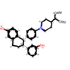 COC(OC)C1CCN(c2ccc([C@H]3c4ccc(O)cc4CC[C@H]3c3cccc(O)c3)cc2)CC1